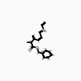 C=C/N=C/C=C\C(=C)C(C)C(=O)OCc1ccccc1